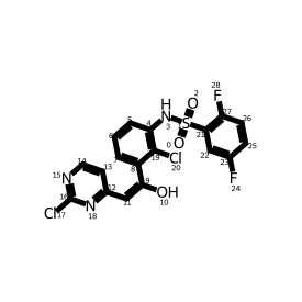 O=S(=O)(Nc1cccc(/C(O)=C\c2ccnc(Cl)n2)c1Cl)c1cc(F)ccc1F